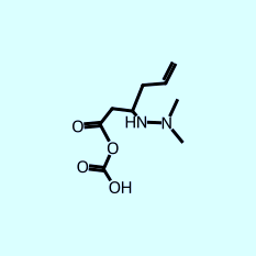 C=CCC(CC(=O)OC(=O)O)NN(C)C